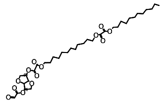 CCCCCCCCCCCCOC(=O)C(=O)OCCCCCCCCCCCCOC(=O)C(=O)O[C@@H]1COC2C1OC[C@H]2OC(=O)C=O